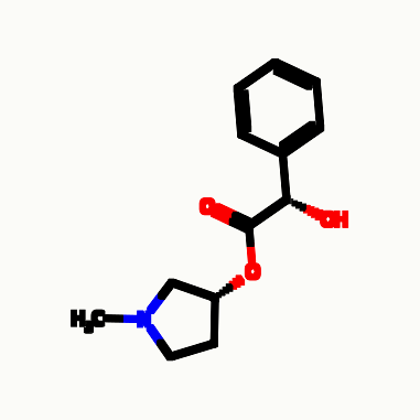 CN1CC[C@@H](OC(=O)[C@@H](O)c2ccccc2)C1